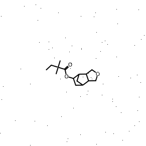 CCC(C)(C)C(=O)OC1CC2CC1C1COCC21